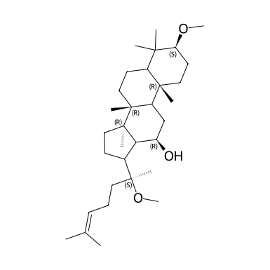 CO[C@H]1CC[C@@]2(C)C(CC[C@]3(C)C2C[C@@H](O)C2C([C@](C)(CCC=C(C)C)OC)CC[C@]23C)C1(C)C